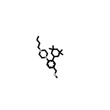 CCCCN1CCN(c2ccc(COC)cc2C2CC(C)(C)CC(C)(C)C2)CC1